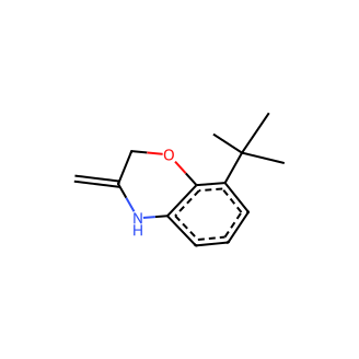 C=C1COc2c(cccc2C(C)(C)C)N1